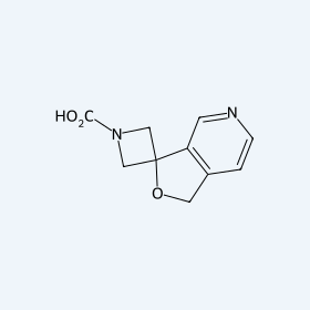 O=C(O)N1CC2(C1)OCc1ccncc12